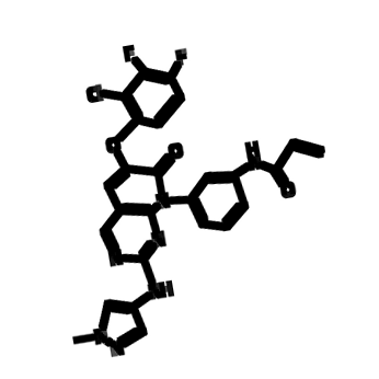 C=CC(=O)Nc1cccc(-n2c(=O)c(Oc3ccc(F)c(F)c3Cl)cc3cnc(Nc4cnn(C)c4)nc32)c1